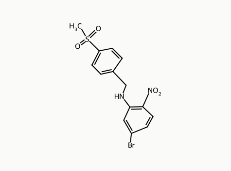 CS(=O)(=O)c1ccc(CNc2cc(Br)ccc2[N+](=O)[O-])cc1